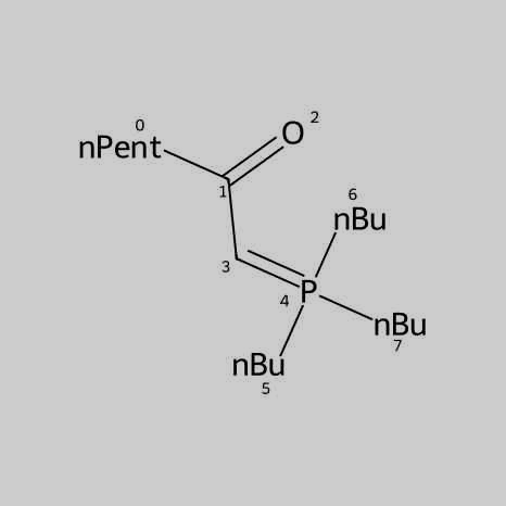 CCCCCC(=O)C=P(CCCC)(CCCC)CCCC